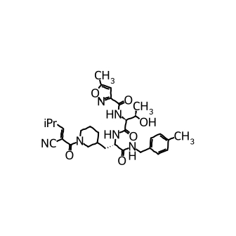 Cc1ccc(CNC(=O)[C@H](CC2CCCN(C(=O)C(C#N)=CC(C)C)C2)NC(=O)[C@@H](NC(=O)c2cc(C)on2)[C@@H](C)O)cc1